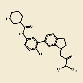 CN(C)C(=O)CN1CCc2ccc(-c3cc(NC(=O)C4CCCNC4)ncc3Cl)cc21